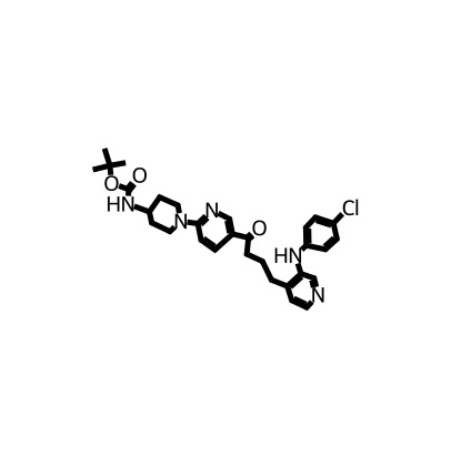 CC(C)(C)OC(=O)NC1CCN(c2ccc(C(=O)CCCc3ccncc3Nc3ccc(Cl)cc3)cn2)CC1